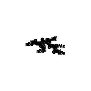 CCCCC(C)(C)CC(=O)OCC(C)(COC)COC(=O)CCN(CCC(=O)OCC(C)(COC(=O)CC(C)(C)CCCC)COC(=O)CC(C)(C)CCCC)C(=O)SCCCN(C)C